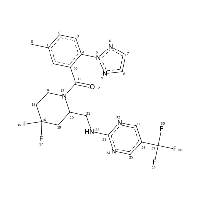 Cc1ccc(-n2nccn2)c(C(=O)N2CCC(F)(F)CC2CNc2ncc(C(F)(F)F)cn2)c1